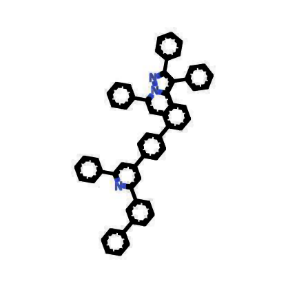 c1ccc(-c2cccc(-c3cc(-c4ccc(-c5cccc6c5cc(-c5ccccc5)n5nc(-c7ccccc7)c(-c7ccccc7)c65)cc4)cc(-c4ccccc4)n3)c2)cc1